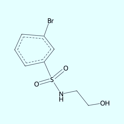 O=S(=O)(NCCO)c1cccc(Br)c1